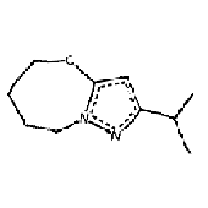 CC(C)c1cc2n(n1)CCCCO2